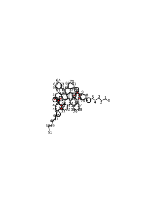 CCCCCCOc1ccc(C(=O)Oc2c(-c3c(-c4ccccc4)c(-c4ccccc4)c4ccccc4c3OC(=O)c3ccc(OCCCCCC)cc3)c(-c3ccccc3)c(-c3ccccc3)c3ccccc23)cc1